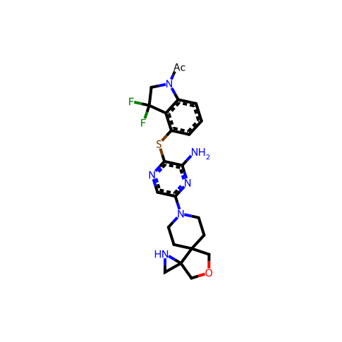 CC(=O)N1CC(F)(F)c2c(Sc3ncc(N4CCC5(CC4)COCC54CN4)nc3N)cccc21